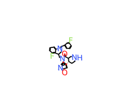 Cn1ccc([C@H]2CCNCC2C(=O)N(CC2CN(Cc3cccc(F)c3)c3cccc(F)c32)C2CC2)cc1=O